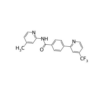 Cc1ccnc(NC(=O)c2ccc(-c3cc(C(F)(F)F)ccn3)cc2)c1